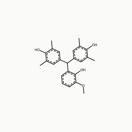 COc1cccc(C(c2cc(C)c(O)c(C)c2)c2cc(C)c(O)c(C)c2)c1O